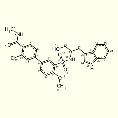 CNC(=O)c1ccc(-c2ccc(OC)c(S(=O)(=O)NC(CO)Cc3c[nH]c4ccccc34)c2)cc1Cl